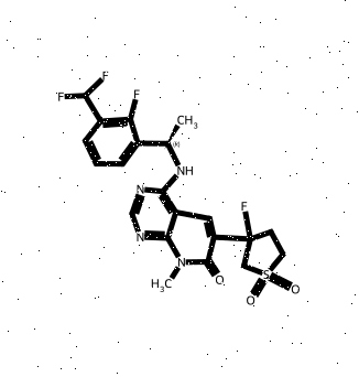 C[C@@H](Nc1ncnc2c1cc(C1(F)CCS(=O)(=O)C1)c(=O)n2C)c1cccc(C(F)F)c1F